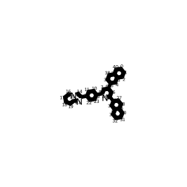 c1ccc2cc(-c3cc(-c4ccc(-c5cn6ccccc6n5)cc4)nc(-c4ccc5ccccc5c4)c3)ccc2c1